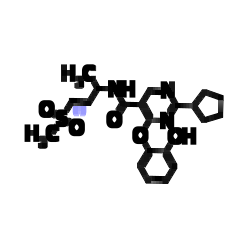 CC(/C=C/S(C)(=O)=O)NC(=O)c1cnc(C2CCCC2)nc1Oc1ccccc1O